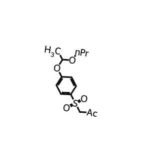 CCCOC(C)Oc1ccc(S(=O)(=O)CC(C)=O)cc1